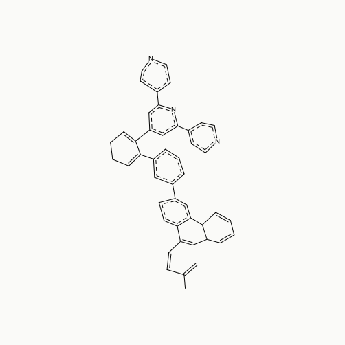 C=C(C)/C=C\C1=CC2C=CC=CC2c2cc(-c3cccc(C4=CCCC=C4c4cc(-c5ccncc5)nc(-c5ccncc5)c4)c3)ccc21